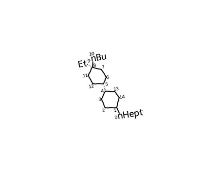 CCCCCCCC1CCC([C@H]2CC[C@](CC)(CCCC)CC2)CC1